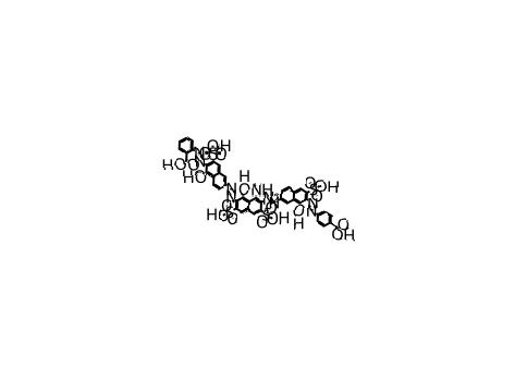 Nc1c(N=Nc2ccc3cc(S(=O)(=O)O)c(N=Nc4ccc(C(=O)O)cc4)c(O)c3c2)c(S(=O)(=O)O)cc2cc(S(=O)(=O)O)c(N=Nc3ccc4c(O)c(N=Nc5ccccc5C(=O)O)c(S(=O)(=O)O)cc4c3)c(O)c12